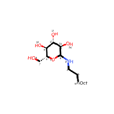 CCCCCCCCCCNC1O[C@H](CO)[C@@H](O)[C@H](O)[C@H]1O